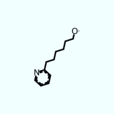 [O]CCCCCCc1ccccn1